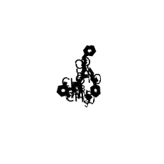 Cc1cccc(C)c1-c1cc2nc(n1)NS(=O)(=O)c1cccc(c1)C(=O)N1CCN(C(=O)OCc3ccccc3)C[C@H](C1)O2